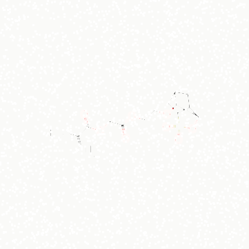 C=C(C)C(=O)OCC(=O)OCCOC1C2CC3C1OS(=O)(=O)C3C2